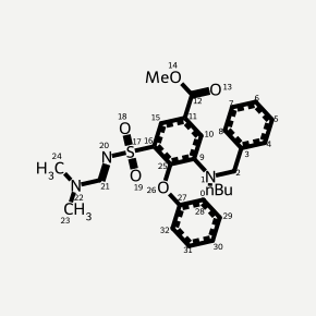 CCCCN(Cc1ccccc1)c1cc(C(=O)OC)cc(S(=O)(=O)/N=C/N(C)C)c1Oc1ccccc1